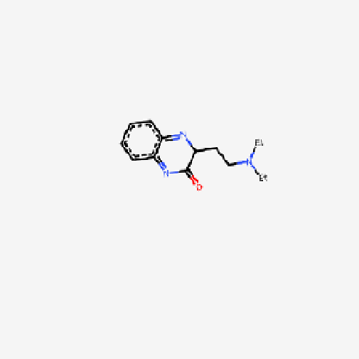 CCN(CC)CCC1N=c2ccccc2=NC1=O